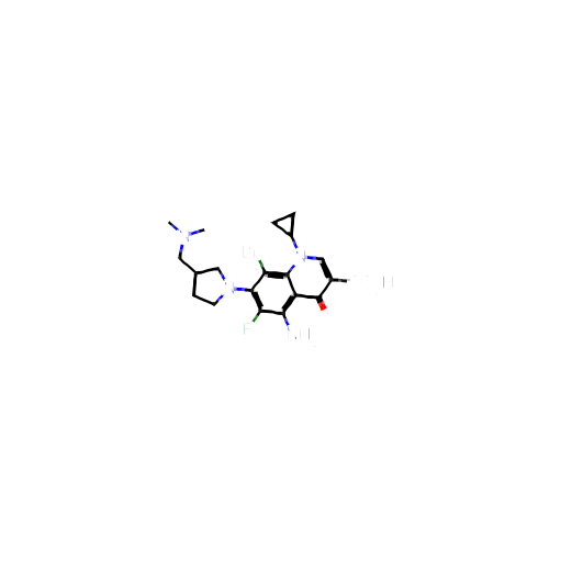 CN(C)CC1CCN(c2c(F)c(N)c3c(=O)c(C(=O)O)cn(C4CC4)c3c2Br)C1